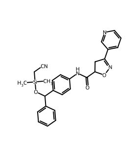 C[Si](C)(CC#N)OC(c1ccccc1)c1ccc(NC(=O)C2CC(c3cccnc3)=NO2)cc1